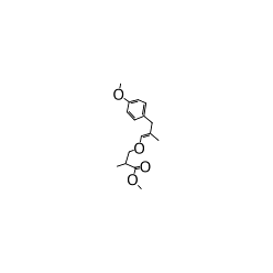 COC(=O)C(C)COC=C(C)Cc1ccc(OC)cc1